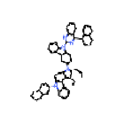 C=Cc1c(/C=C\C)n(-c2ccc3c(c2)c2ccccc2n3-c2nc(-c3cccc4ccccc34)c3ccccc3n2)c2ccc3c(c4ccccc4n3-c3ccc4ccccc4c3)c12